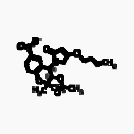 C=CCCOC1=CC(=O)N([C@@H]2c3cc([N+](=O)[O-])ccc3OC(C)(C)[C@H]2OC(C)=O)C1